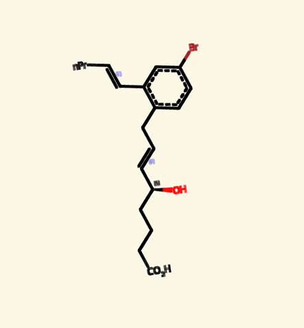 CCC/C=C/c1cc(Br)ccc1C/C=C/[C@@H](O)CCCC(=O)O